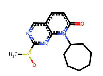 C[S+]([O-])c1ncc2ccc(=O)n(C3CCCCCC3)c2n1